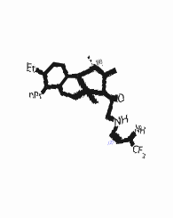 CCCC1C(CC)CCC2C1CCC1(C)C(C(=O)CN/C=C\C(=N)C(F)(F)F)C(C)[C@@H](C)C21